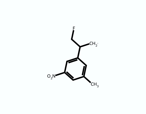 [CH2]C(CF)c1cc(C)cc([N+](=O)[O-])c1